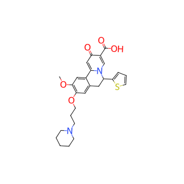 COc1cc2c(cc1OCCCN1CCCCC1)CC(c1cccs1)n1cc(C(=O)O)c(=O)cc1-2